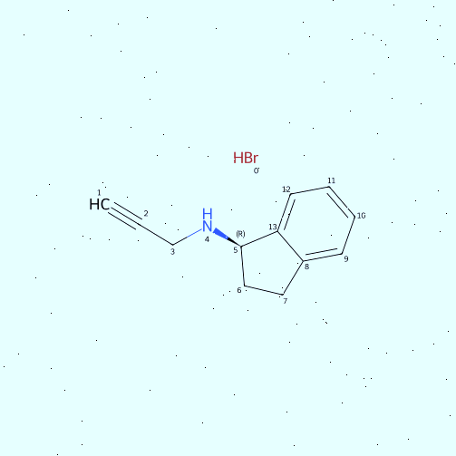 Br.C#CCN[C@@H]1CCc2ccccc21